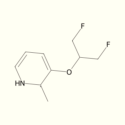 C[C]1NC=CC=C1OC(CF)CF